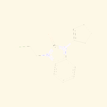 O=c1n(CCCl)c2ccccc2n1C1=CCCC1